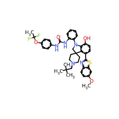 COc1ccc2nc(-c3ccc(O)c4c3C3(CCN(CC(C)(C)C)CC3)CN4c3ccccc3NC(=O)Nc3ccc(OC(C)(F)F)cc3)sc2c1